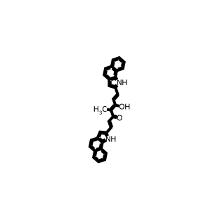 C/C(C(=O)/C=C/c1cc2ccc3ccccc3c2[nH]1)=C(O)\C=C\c1cc2ccc3ccccc3c2[nH]1